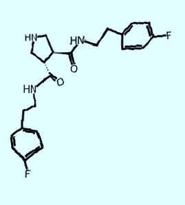 O=C(NCCc1ccc(F)cc1)[C@@H]1CNC[C@H]1C(=O)NCCc1ccc(F)cc1